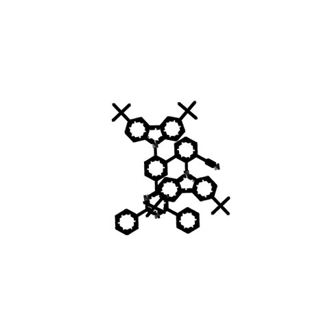 CC(C)(C)c1ccc2c(c1)c1cc(C(C)(C)C)ccc1n2-c1ccc(-c2nc(-c3ccccc3)nc(-c3ccccc3)n2)cc1-c1cccc(C#N)c1-n1c2ccc(C(C)(C)C)cc2c2cc(C(C)(C)C)ccc21